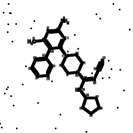 Cc1nc(N)nc(N2CCN(/C(=N\C#N)NC3CCCC3)CC2)c1-c1cccnc1